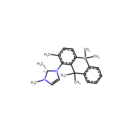 Cc1ccc2c(c1N1C=CN(C)[C@@H]1C)C(C)(C)c1ccccc1[Si]2(C)C